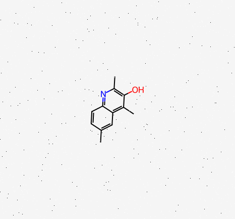 Cc1ccc2nc(C)c(O)c(C)c2c1